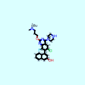 CCCCN(C)CCCOc1nc(N2CC3CCCC2CN3)c2cc(Cl)c(C3=CC(O)=CC4C=CC=CC34)c(F)c2n1